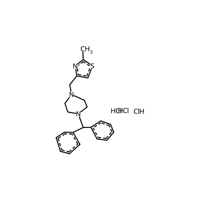 Cc1nc(CN2CCN(C(c3ccccc3)c3ccccc3)CC2)cs1.Cl.Cl.Cl